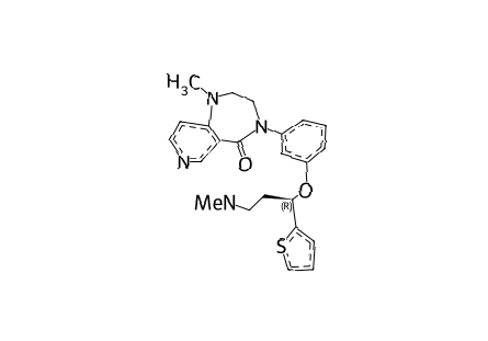 CNCC[C@@H](Oc1cccc(N2CCN(C)c3ccncc3C2=O)c1)c1cccs1